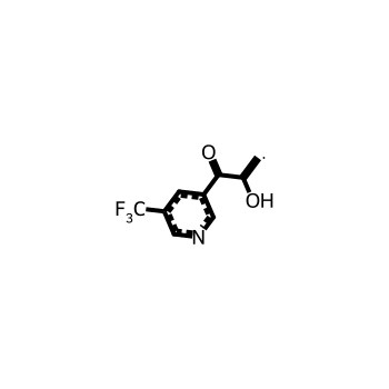 [CH]=C(O)C(=O)c1cncc(C(F)(F)F)c1